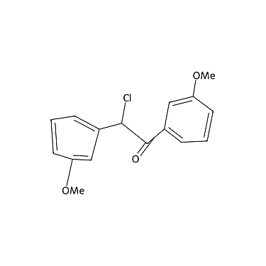 COc1cccc(C(=O)C(Cl)c2cccc(OC)c2)c1